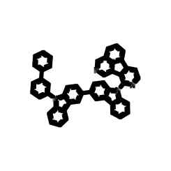 c1ccc(-c2cccc(-n3c4ccccc4c4cc(-c5ccc6c(c5)c5ccccc5n6-c5nccc6c5-c5cncc7cccc-6c57)ccc43)c2)cc1